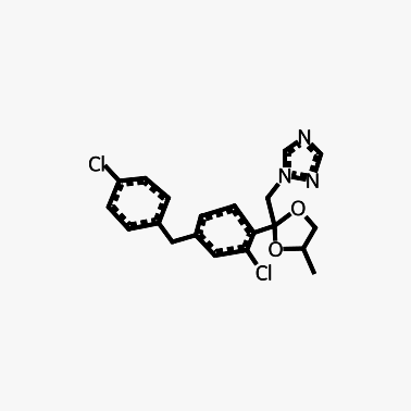 CC1COC(Cn2cncn2)(c2ccc(Cc3ccc(Cl)cc3)cc2Cl)O1